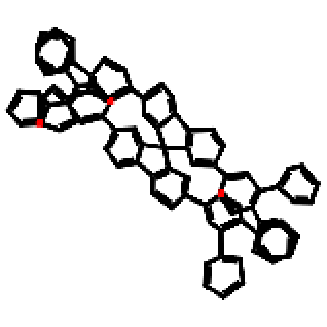 c1ccc(-c2ccc(-c3ccc4c(c3)C3(c5cc(-c6ccc(-c7ccccc7)c(-c7ccccc7)c6)ccc5-4)c4cc(-c5ccc(-c6ccccc6)c(-c6ccccc6)c5)ccc4-c4ccc(-c5ccc(-c6ccccc6)c(-c6ccccc6)c5)cc43)cc2-c2ccccc2)cc1